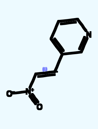 O=[N+]([O-])/C=[C]/c1cccnc1